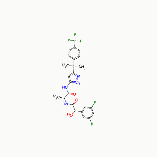 CC(NC(=O)C(O)c1cc(F)cc(F)c1)C(=O)Nc1cc(C(C)(C)c2ccc(C(F)(F)F)cc2)n[nH]1